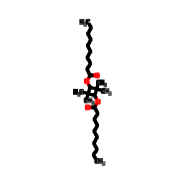 CCCCCCCCCC(=O)OC1C(C)(C)C(OC(=O)CCCCCCCCC)C1(C)C